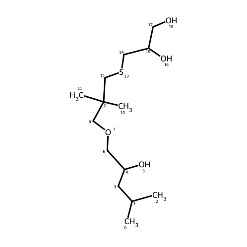 CC(C)CC(O)COCC(C)(C)CSCC(O)CO